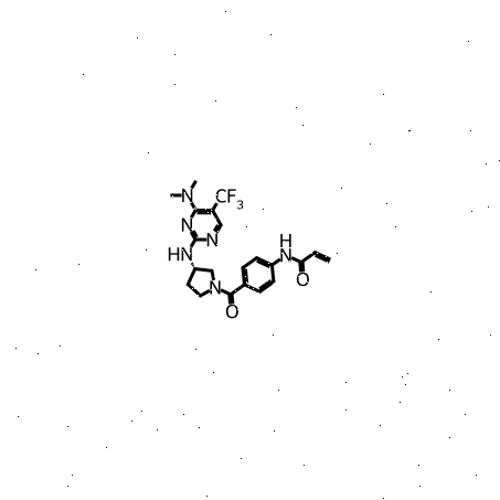 C=CC(=O)Nc1ccc(C(=O)N2CC[C@H](Nc3ncc(C(F)(F)F)c(N(C)C)n3)C2)cc1